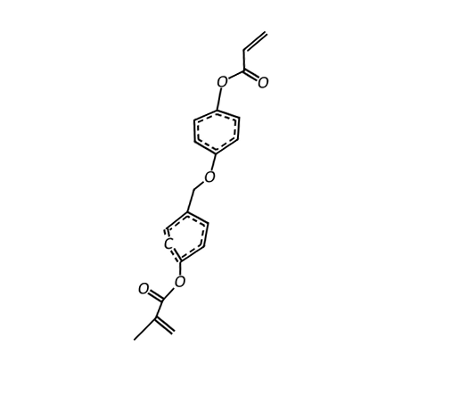 C=CC(=O)Oc1ccc(OCc2ccc(OC(=O)C(=C)C)cc2)cc1